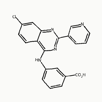 O=C(O)c1cccc(Nc2nc(-c3cccnc3)nc3cc(Cl)ccc23)c1